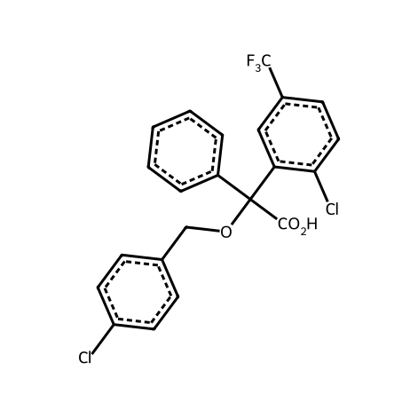 O=C(O)C(OCc1ccc(Cl)cc1)(c1ccccc1)c1cc(C(F)(F)F)ccc1Cl